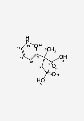 CC(CC(=O)O)(C(=O)O)C1=CC=CPO1